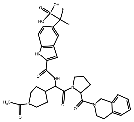 CC(=O)N1CCC(C(NC(=O)c2cc3cc(C(F)(F)P(=O)(O)O)ccc3[nH]2)C(=O)N2CCCC2C(=O)N2CCc3ccccc3C2)CC1